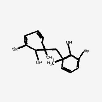 CC(C)(C)C1=CC=CC(C)(CC2(C)C=CC=C(C(C)(C)C)C2O)C1O